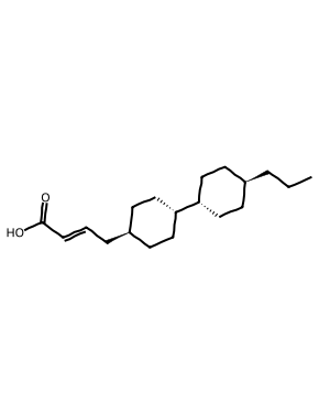 CCC[C@H]1CC[C@H]([C@H]2CC[C@H](C/C=C/C(=O)O)CC2)CC1